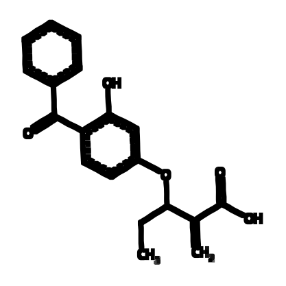 C=C(C(=O)O)C(CC)Oc1ccc(C(=O)c2ccccc2)c(O)c1